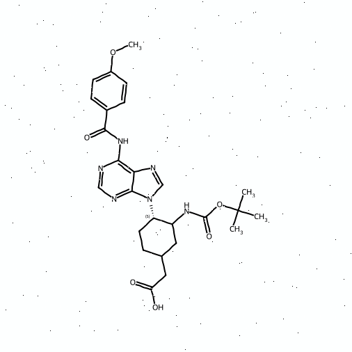 COc1ccc(C(=O)Nc2ncnc3c2ncn3[C@H]2CCC(CC(=O)O)CC2NC(=O)OC(C)(C)C)cc1